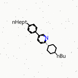 CCCCCCCc1ccc(-c2ccc([C@H]3CC[C@H](CCCC)CC3)nc2)cc1